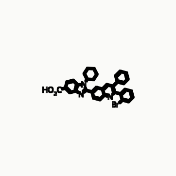 O=C(O)c1ccc2c(c1)nc(-c1ccc3nc(-c4ccccc4Br)c(-c4ccccc4)cc3c1)n2C1CCCCC1